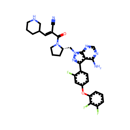 N#C/C(=C\C1CCCNC1)C(=O)N1CCC[C@H]1Cn1nc(-c2ccc(Oc3cccc(F)c3F)cc2F)c2c(N)ncnc21